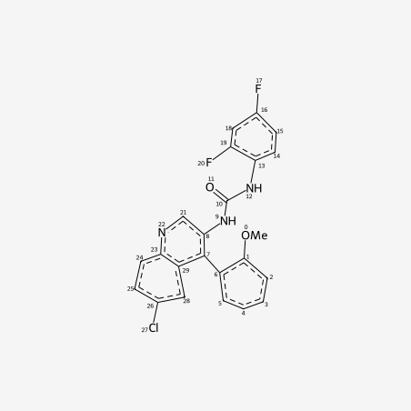 COc1ccccc1-c1c(NC(=O)Nc2ccc(F)cc2F)cnc2ccc(Cl)cc12